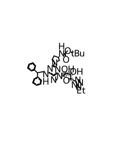 CCn1nnc([C@H]2O[C@@H](n3cnc4c(NCC(c5ccccc5)c5ccccc5)nc(N5CCC(NC(=O)OC(C)(C)C)C5)nc43)[C@H](O)[C@@H]2O)n1